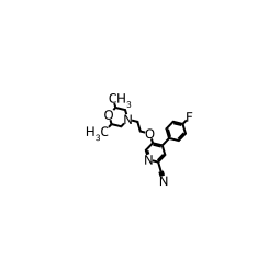 CC1CN(CCOc2cnc(C#N)cc2-c2ccc(F)cc2)CC(C)O1